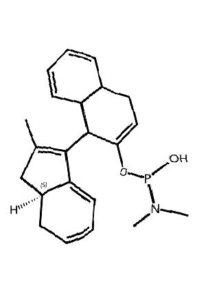 CC1=C(C2C(OP(O)N(C)C)=CCC3C=CC=CC32)C2=CC=CC[C@H]2C1